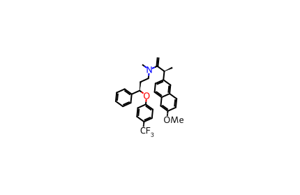 C=C([C@@H](C)c1ccc2cc(OC)ccc2c1)N(C)CC[C@@H](Oc1ccc(C(F)(F)F)cc1)c1ccccc1